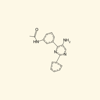 CC(=O)Nc1cccc(-c2nc(-c3ccccc3)ncc2N)c1